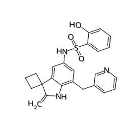 C=C1Nc2c(Cc3cccnc3)cc(NS(=O)(=O)c3ccccc3O)cc2C12CCC2